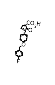 O=C(O)[C@H]1CCN(c2ccc(OCc3ccc(F)cc3)cc2)C1=O